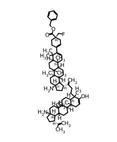 C=C(CCC1(C)C(O)=CC[C@]2(C)[C@H]3CC[C@@H]4[C@H]5[C@H](C(=C)C)CC[C@]5(N)CC[C@@]4(C)[C@]3(C)CC[C@@H]12)[C@@H]1CC[C@]2(N)CC[C@]3(C)[C@H](CC[C@@H]4[C@@]5(C)CC=C(C6=CC[C@@](CF)(C(=O)OCc7ccccc7)CC6)C(C)(C)[C@@H]5CC[C@]43C)[C@@H]12